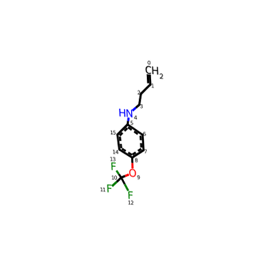 C=CCCNc1ccc(OC(F)(F)F)cc1